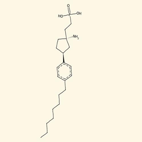 CCCCCCCCc1ccc([C@H]2CC[C@@](N)(CCP(=O)(O)O)C2)cc1